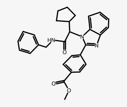 COC(=O)c1ccc(-c2nc3ccccc3n2C(C(=O)NCc2ccccc2)C2CCCC2)cc1